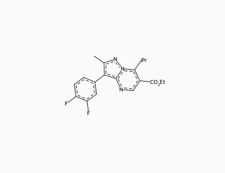 CCOC(=O)c1cnc2c(-c3ccc(F)c(F)c3)c(C)nn2c1C(C)C